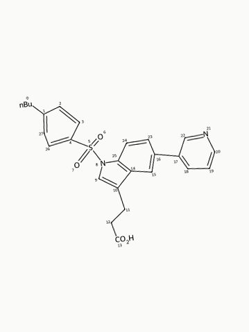 CCCCc1ccc(S(=O)(=O)n2cc(CCC(=O)O)c3cc(-c4cccnc4)ccc32)cc1